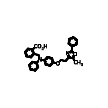 Cc1oc(-c2ccccc2)nc1CCOc1ccc(N(Cc2ccccc2C(=O)O)c2ccccc2)cc1